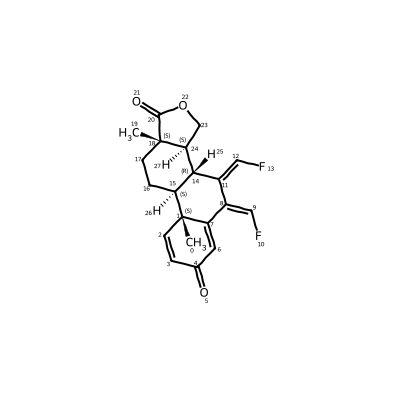 C[C@]12C=CC(=O)C=C1C(=CF)C(=CF)[C@@H]1[C@@H]2CC[C@]2(C)C(=O)OC[C@@H]12